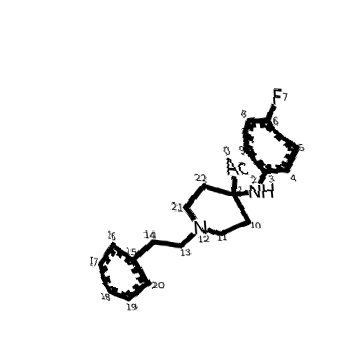 CC(=O)C1(Nc2ccc(F)cc2)CCN(CCc2ccccc2)CC1